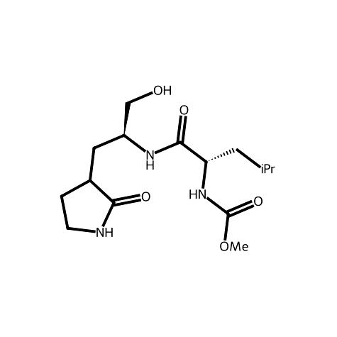 COC(=O)N[C@@H](CC(C)C)C(=O)N[C@H](CO)CC1CCNC1=O